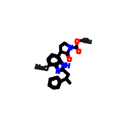 COc1ccc(C2CCN(C(=O)OC(C)(C)C)C2=O)c2[nH]c(CC(C)c3ccccc3)nc12